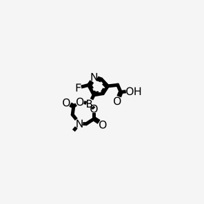 CN1CC(=O)OB(c2cc(CC(=O)O)cnc2F)OC(=O)C1